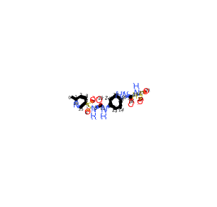 Cc1ccc(S(=O)(=O)NC(=O)NC2CCC(NC(=O)N[SH](=O)=O)CC2)cn1